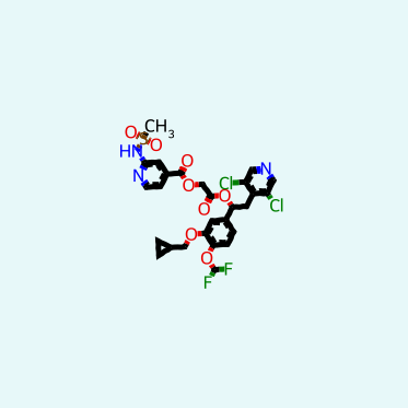 CS(=O)(=O)Nc1cc(C(=O)OCC(=O)OC(Cc2c(Cl)cncc2Cl)c2ccc(OC(F)F)c(OCC3CC3)c2)ccn1